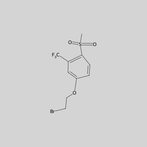 CS(=O)(=O)c1ccc(OCCBr)cc1C(F)(F)F